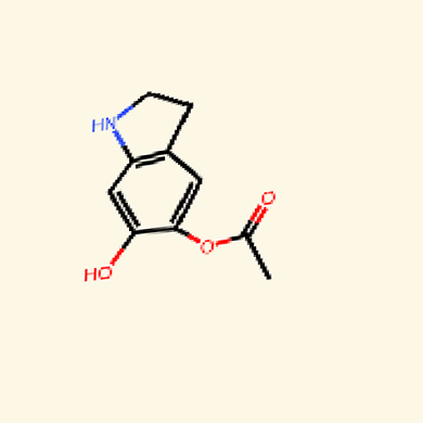 CC(=O)Oc1cc2c(cc1O)NCC2